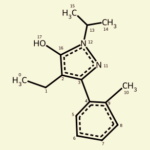 CCc1c(-c2ccccc2C)nn(C(C)C)c1O